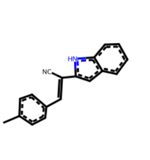 Cc1ccc(C=C(C#N)c2cc3ccccc3[nH]2)cc1